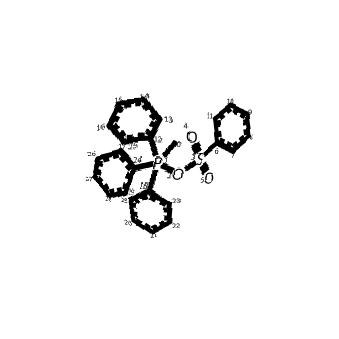 CP(OS(=O)(=O)c1ccccc1)(c1ccccc1)(c1ccccc1)c1ccccc1